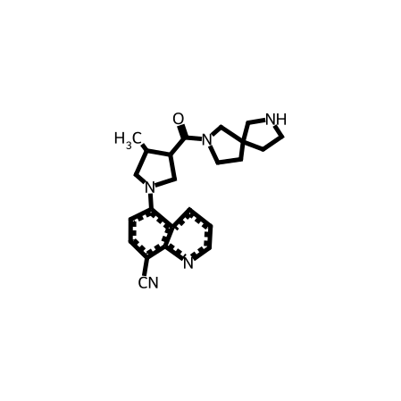 CC1CN(c2ccc(C#N)c3ncccc23)CC1C(=O)N1CCC2(CCNC2)C1